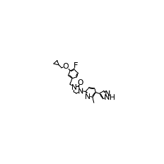 Cc1nc(N2CCN(Cc3ccc(F)c(OCC4CC4)c3)C2=O)ccc1-c1cn[nH]c1